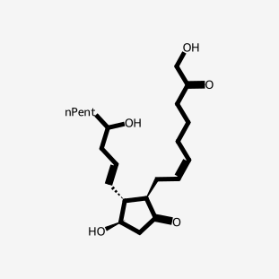 CCCCCC(O)C/C=C/[C@H]1[C@H](O)CC(=O)[C@@H]1C/C=C\CCCC(=O)CO